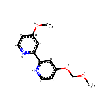 COCOc1ccnc(-c2cc(OC)ccn2)c1